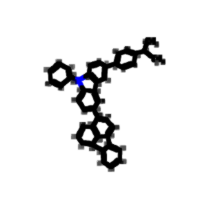 CC(C)c1ccc(-c2ccc3c(c2)c2cc(-c4ccc5c6c(cccc46)-c4ccccc4-5)ccc2n3-c2ccccc2)cc1